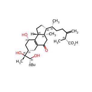 C=C(CC[C@@H](C)[C@H]1CC[C@H]2C3=C(C[C@H]([C@@](C)(O)[C@H](O)CCCC)C[C@@H]3O)C(=O)C[C@]12C)[C@@H](C)C(=O)O